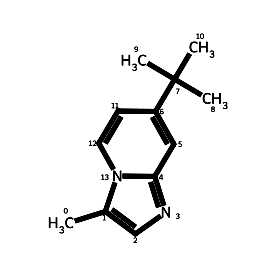 Cc1cnc2cc(C(C)(C)C)ccn12